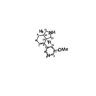 COc1cncc(C2=CCC[C@H]3CNC[C@@H]23)c1